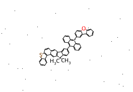 CC1(C)c2ccc(-c3c4ccccc4c(-c4ccc5oc6ccccc6c5c4)c4ccccc34)cc2-c2cc3ccc4sc5ccccc5c4c3cc21